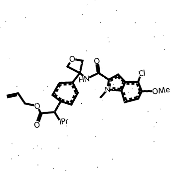 C=CCOC(=O)C(c1ccc(C2(NC(=O)c3cc4c(Cl)c(OC)ccc4n3C)COC2)cc1)C(C)C